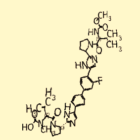 COC(=O)N[C@H](C(=O)N1CCCC1c1ncc(-c2ccc(-c3ccc(-c4cnc([C@@H]5CCCN5C(=O)[C@H](C(C)C)N(C)C(=O)O)[nH]4)cc3)cc2F)[nH]1)C(C)C